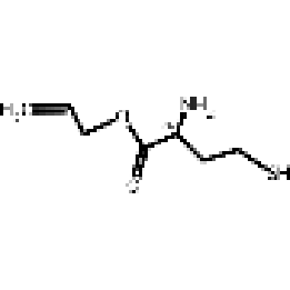 C=CCOC(=O)[C@@H](N)CCS